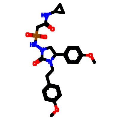 COc1ccc(CCN2C(=O)N(NS(=O)(=O)CC(=O)NC3CC3)CC2c2ccc(OC)cc2)cc1